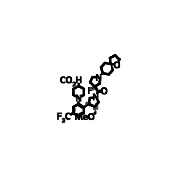 COC[C@H]1CN(C(=O)[C@@]2(F)CCN([C@H]3CC[C@]4(CCCO4)CC3)C2)C[C@@H]1c1ccc(C(F)(F)F)cc1N1CCC(C(=O)O)CC1